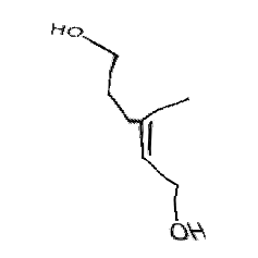 C/C(=C\CO)CCO